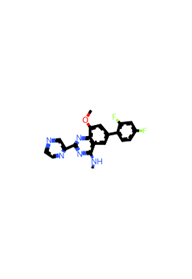 CNc1nc(-c2cnccn2)nc2c(OC)cc(-c3ccc(F)cc3F)cc12